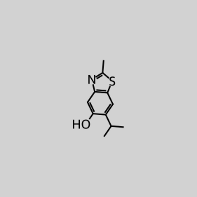 Cc1nc2cc(O)c(C(C)C)cc2s1